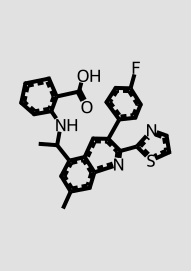 Cc1cc(C(C)Nc2ccccc2C(=O)O)c2cc(-c3ccc(F)cc3)c(-c3nccs3)nc2c1